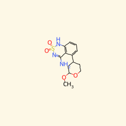 COC1CC(c2cccc3c2C(N)=NS(=O)(=O)N3)CCO1